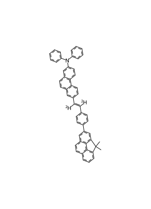 [2H]/C(=C(/[2H])c1ccc2c(ccc3cc(N(c4ccccc4)c4ccccc4)ccc32)c1)c1ccc(-c2cc3c4c(ccc5cccc(c54)C3(C)C)c2)cc1